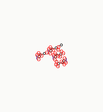 COc1cc(-c2cc(=O)c3c(OC)c(I)c(OC)cc3o2)ccc1OCc1ccccc1.COc1cc(OC)c(-c2cc(=O)c3c(OC)c(I)c(OC)cc3o2)cc1OC.COc1cc2oc(-c3cc(OC)c(OC)c(OC)c3)cc(=O)c2c(OC)c1I.COc1ccc(-c2cc(=O)c3c(OC)c(I)c(OC)cc3o2)cc1